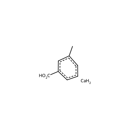 Cc1cccc(C(=O)O)c1.[CaH2]